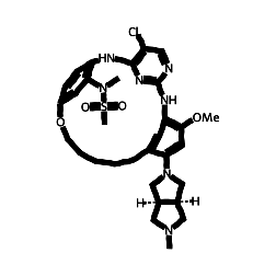 COc1cc(N2C[C@H]3CN(C)C[C@H]3C2)c2cc1Nc1ncc(Cl)c(n1)Nc1ccc(cc1N(C)S(C)(=O)=O)OCCCCC2